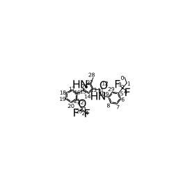 CCC(F)(F)c1cccc(NC(=O)c2cc(-c3ccccc3OC(F)F)[nH]c2C)c1